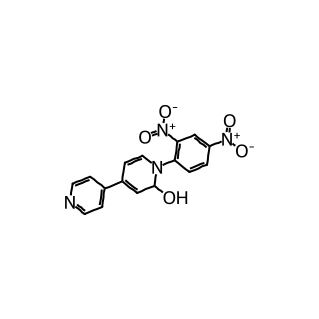 O=[N+]([O-])c1ccc(N2C=CC(c3ccncc3)=CC2O)c([N+](=O)[O-])c1